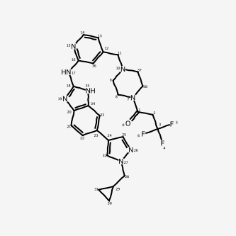 O=C(CC(F)(F)F)N1CCN(Cc2ccnc(Nc3nc4ccc(-c5cnn(CC6CC6)c5)cc4[nH]3)c2)CC1